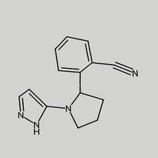 N#Cc1ccccc1C1CCCN1c1ccn[nH]1